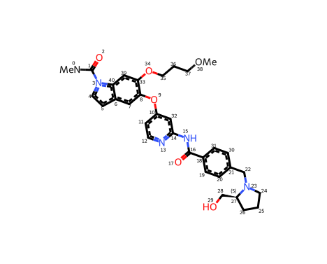 CNC(=O)n1ccc2cc(Oc3ccnc(NC(=O)c4ccc(CN5CCC[C@H]5CO)cc4)c3)c(OCCCOC)cc21